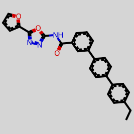 CCc1ccc(-c2ccc(-c3cccc(C(=O)Nc4nnc(-c5ccco5)o4)c3)cc2)cc1